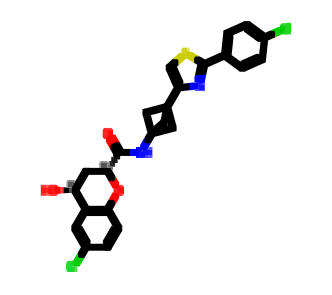 O=C(NC12CC(c3csc(-c4ccc(Cl)cc4)n3)(C1)C2)[C@H]1C[C@@H](O)c2cc(Cl)ccc2O1